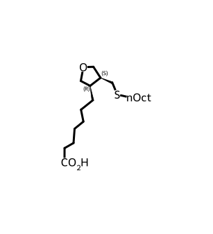 CCCCCCCCSC[C@@H]1COC[C@@H]1CCCCCCC(=O)O